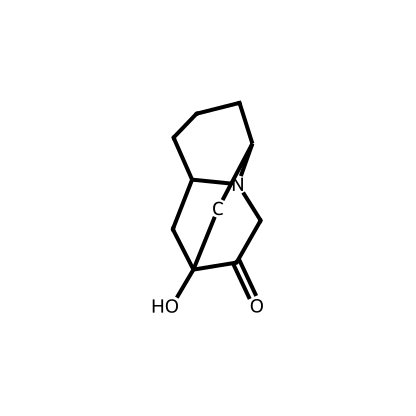 O=C1CN2C3CCCC2CC1(O)C3